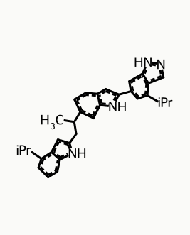 CC(C)c1cc(-c2cc3ccc(C(C)Cc4cc5c(C(C)C)cccc5[nH]4)cc3[nH]2)cc2[nH]ncc12